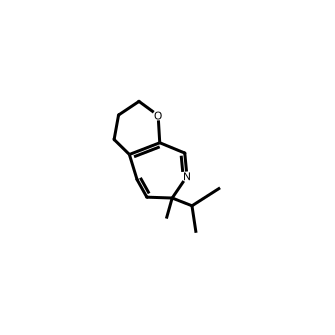 CC(C)C1(C)C=CC2=C(C=N1)OCCC2